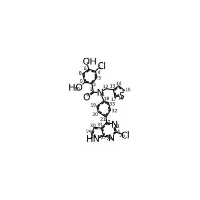 O=C(c1cc(Cl)c(O)cc1O)N(Cc1ccsc1)c1ccc(-c2nc(Cl)nc3[nH]ccc23)cc1